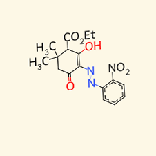 CCOC(=O)C1C(O)=C(/N=N/c2ccccc2[N+](=O)[O-])C(=O)CC1(C)C